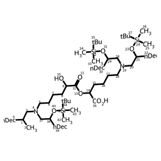 CCCCCCCCCCC(C)CN(CCCCC(O)C(=O)OC(CCCCN(CC(CCCCCCCCCC)O[Si](C)(C)C(C)(C)C)CC(CCCCCCCCCC)O[Si](C)(C)C(C)(C)C)C(=O)O)CC(CCCCCCCCCC)O[Si](C)(C)C(C)(C)C